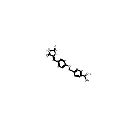 CC(C)C(O)c1ccc(COc2ccc(/C=C3\SC(=S)NC3=O)cc2)cc1